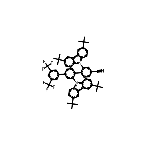 CC(C)(C)c1ccc2c(c1)c1cc(C(C)(C)C)ccc1n2-c1cc(C#N)ccc1-c1ccc(-c2cc(C(F)(F)F)cc(C(F)(F)F)c2)cc1-n1c2ccc(C(C)(C)C)cc2c2cc(C(C)(C)C)ccc21